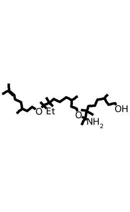 CCC(C)(OCCC(C)CCC=C(C)C)C(C)(C)CCCC(C)CCOC(C)(N)C(C)(C)CCCC(C)CCO